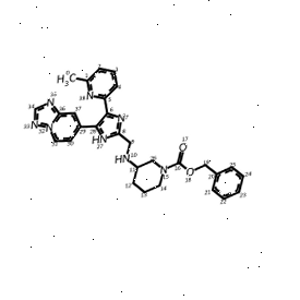 Cc1cccc(-c2nc(CNC3CCCN(C(=O)OCc4ccccc4)C3)[nH]c2-c2ccn3ncnc3c2)n1